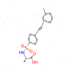 Cc1cccc(C#Cc2ccc(S(=O)(=O)N[C@H](C)C(=O)O)cc2)c1